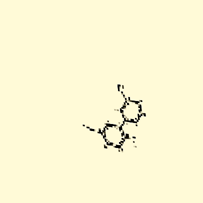 Fc1[c]c(-c2cccc(F)c2)c(Cl)cc1